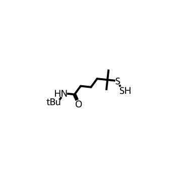 CC(C)(C)NC(=O)CCCC(C)(C)SS